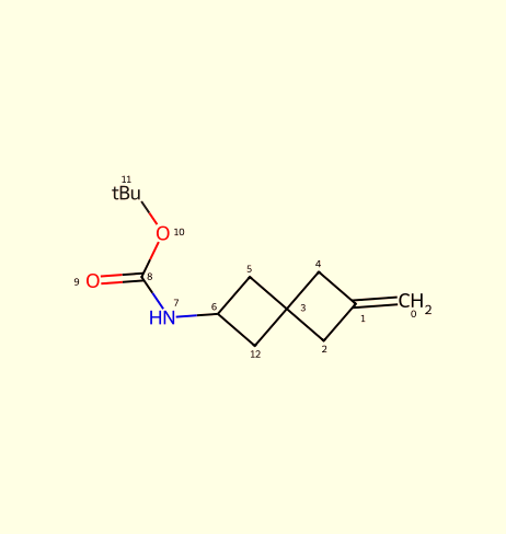 C=C1CC2(C1)CC(NC(=O)OC(C)(C)C)C2